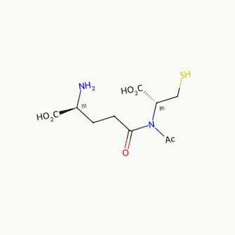 CC(=O)N(C(=O)CC[C@H](N)C(=O)O)[C@@H](CS)C(=O)O